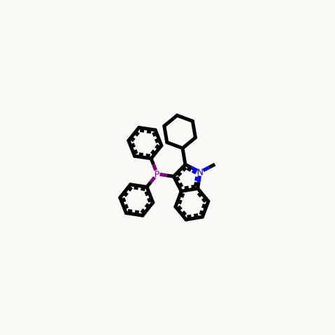 Cn1c(C2CCCCC2)c(P(c2ccccc2)c2ccccc2)c2ccccc21